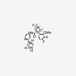 COc1c([C@H]2[C@H](C(=O)Nc3ccnc(N4C[C@H]5C[C@@H]4CN5)c3)O[C@@](C)(C(F)(F)F)[C@H]2C)ccc(F)c1F